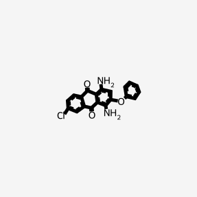 Nc1cc(Oc2ccccc2)c(N)c2c1C(=O)c1ccc(Cl)cc1C2=O